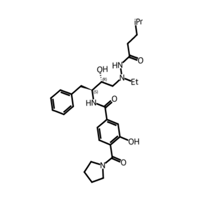 CCN(C[C@@H](O)[C@H](Cc1ccccc1)NC(=O)c1ccc(C(=O)N2CCCC2)c(O)c1)NC(=O)CCC(C)C